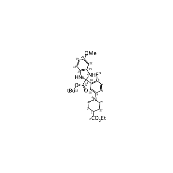 CCOC(=O)C1CCN(c2ccc(F)c(C3(C(=O)OC(C)(C)C)Nc4ccc(OC)cc4N3)c2)CC1